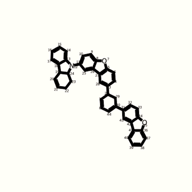 C1=CC(c2ccc3oc4ccc(N5c6ccccc6C6C=CCCC65)cc4c3c2)CC(c2ccc3oc4ccccc4c3c2)=C1